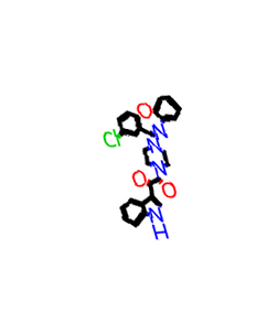 O=C(C(=O)N1CCN(C2=Nc3ccccc3Oc3ccc(Cl)cc32)CC1)c1c[nH]c2ccccc12